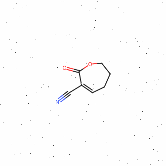 N#CC1=CCCCOC1=O